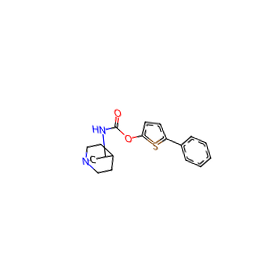 O=C(NC1CN2CCC1CC2)Oc1ccc(-c2ccccc2)s1